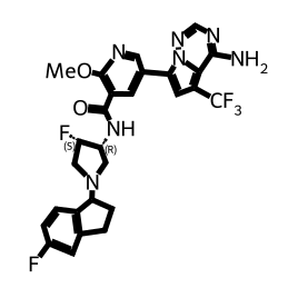 COc1ncc(-c2cc(C(F)(F)F)c3c(N)ncnn23)cc1C(=O)N[C@@H]1CN(C2CCc3cc(F)ccc32)C[C@@H]1F